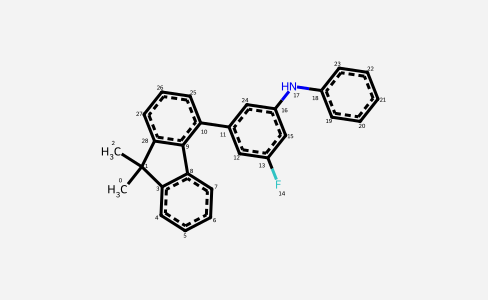 CC1(C)c2ccccc2-c2c(-c3cc(F)cc(Nc4ccccc4)c3)cccc21